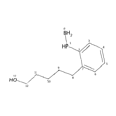 BPc1ccccc1CCCCCO